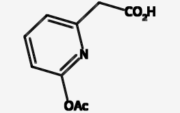 CC(=O)Oc1cccc(CC(=O)O)n1